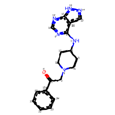 O=C(CN1CCC(Nc2ncnc3[nH]ncc23)CC1)c1ccccc1